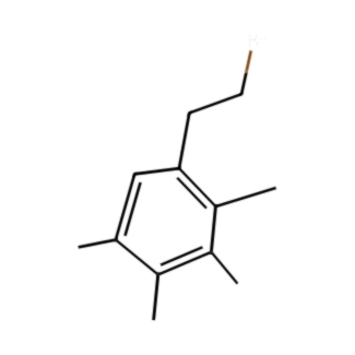 Cc1cc(CCBr)c(C)c(C)c1C